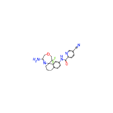 N#Cc1ccc(C(=O)Nc2ccc3c(c2)C2(CCC3)N=C(N)COCC2(F)F)nc1